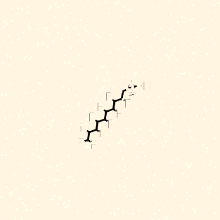 O=S(=O)(O)CC(F)C(F)C(F)C(F)C(F)C(F)C(F)C(F)C(F)F